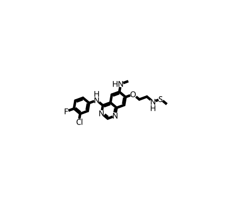 CNc1cc2c(Nc3ccc(F)c(Cl)c3)ncnc2cc1OCCNSC